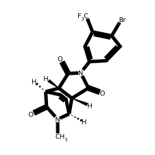 CN1C(=O)[C@@H]2C=C[C@H]1[C@H]1C(=O)N(c3ccc(Br)c(C(F)(F)F)c3)C(=O)[C@H]12